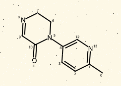 Cc1ccc(N2CCN=CC2=O)cn1